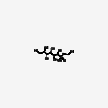 O=P(O)(OCO)C(O)[C@@H](O)[C@@H](O)[C@H](O)[C@H](O)CO